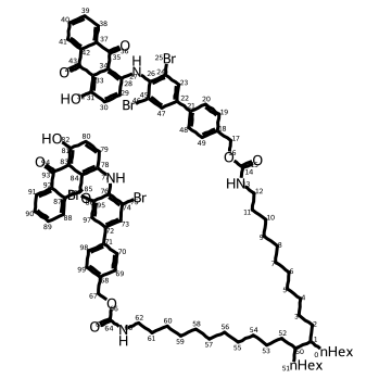 CCCCCCC(CCCCCCCCCCCNC(=O)OCc1ccc(-c2cc(Br)c(Nc3ccc(O)c4c3C(=O)c3ccccc3C4=O)c(Br)c2)cc1)C(CCCCCC)CCCCCCCCCCCNC(=O)OCc1ccc(-c2cc(Br)c(Nc3ccc(O)c4c3C(=O)c3ccccc3C4=O)c(Br)c2)cc1